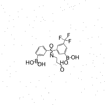 O=CCCN=S(=O)(c1cccc(B(O)O)c1)c1cc(B(O)O)cc(C(F)(F)F)c1